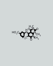 Cc1c(Nc2cccc(C(=O)O)c2)c2c(=O)n(C)c(=O)n(C)c2n(C)c1=O